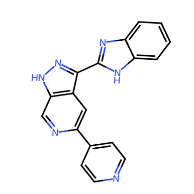 c1ccc2[nH]c(-c3n[nH]c4cnc(-c5ccncc5)cc34)nc2c1